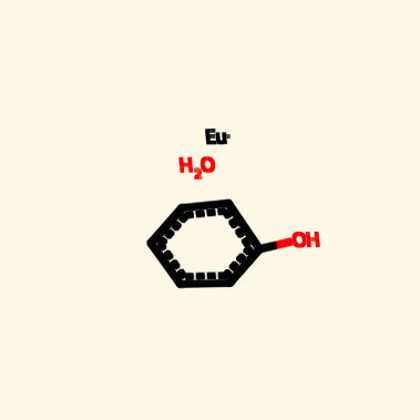 O.Oc1ccccc1.[Eu]